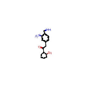 N=Cc1ccc(CC(=O)c2ccccc2O)cc1N